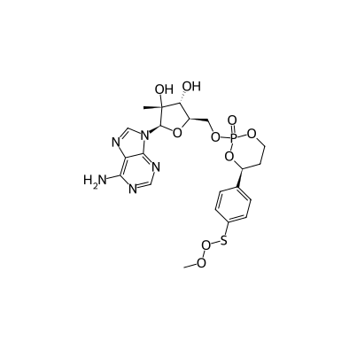 COOSc1ccc([C@@H]2CCOP(=O)(OC[C@H]3O[C@@H](n4cnc5c(N)ncnc54)[C@](C)(O)[C@@H]3O)O2)cc1